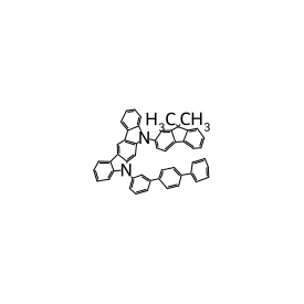 CC1(C)c2ccccc2-c2ccc(-n3c4ccccc4c4cc5c6ccccc6n(-c6cccc(-c7ccc(-c8ccccc8)cc7)c6)c5cc43)cc21